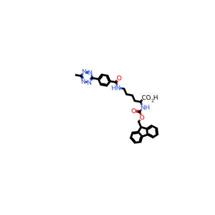 Cc1nnc(-c2ccc(C(=O)NCCCCC(NC(=O)OCC3c4ccccc4-c4ccccc43)C(=O)O)cc2)nn1